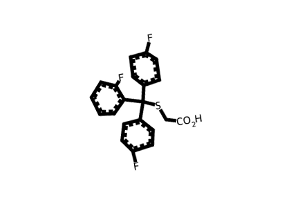 O=C(O)CSC(c1ccc(F)cc1)(c1ccc(F)cc1)c1ccccc1F